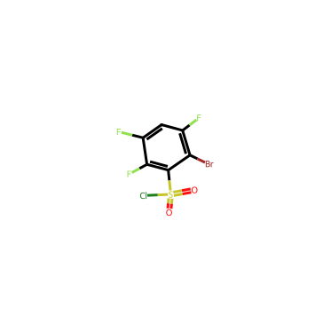 O=S(=O)(Cl)c1c(F)c(F)cc(F)c1Br